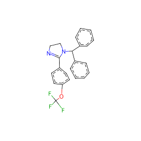 FC(F)(F)Oc1ccc(C2=NCCN2C(c2ccccc2)c2ccccc2)cc1